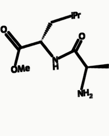 COC(=O)[C@H](CC(C)C)NC(=O)[C@@H](C)N